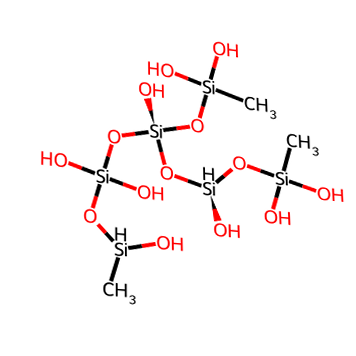 C[SiH](O)O[Si](O)(O)O[Si@@](O)(O[Si@H](O)O[Si](C)(O)O)O[Si](C)(O)O